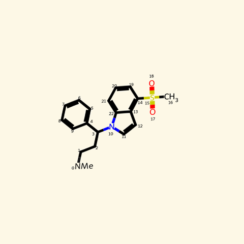 CNCCC(c1ccccc1)n1ccc2c(S(C)(=O)=O)cccc21